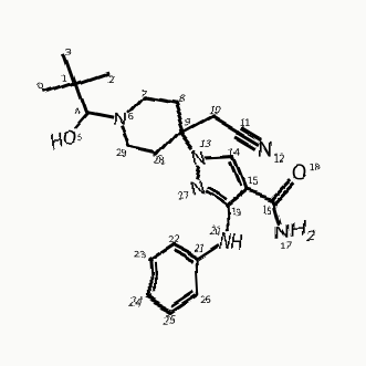 CC(C)(C)C(O)N1CCC(CC#N)(n2cc(C(N)=O)c(Nc3ccccc3)n2)CC1